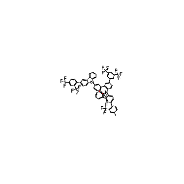 Cc1ccc(-c2ccc3c(c2)c2ccccc2n3-c2ccc(-c3cc(C(F)(F)F)cc(C(F)(F)F)c3)cc2-c2cc(-n3c4ccccc4c4cc(-c5ccc(C(F)(F)F)cc5C(F)(F)F)ccc43)ccc2C#N)c(C(F)(F)F)c1